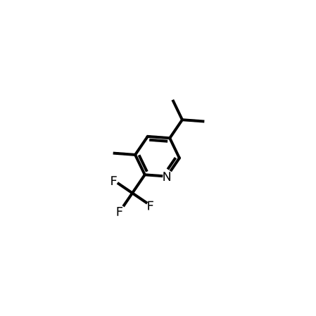 Cc1cc(C(C)C)cnc1C(F)(F)F